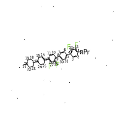 CCCc1ccc(-c2ccc(-c3ccc(C4=CCC(C5CCC(C)CC5)CC4)c(F)c3F)cc2)c(F)c1F